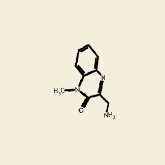 Cn1c(=O)c(CN)nc2ccccc21